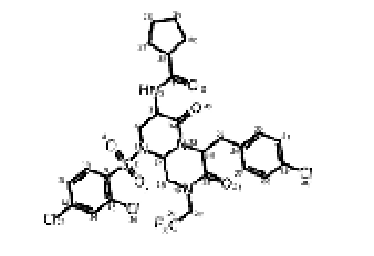 O=C(NC1CN(S(=O)(=O)c2ccc(Cl)cc2Cl)C2CN(CC(F)(F)F)C(=O)C(Cc3ccc(Cl)cc3)N2C1=O)C1CCCC1